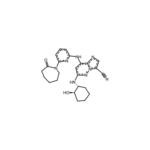 N#Cc1cnc2c(Nc3cccc(N4CCCCCC4=O)n3)cc(N[C@@H]3CCCC[C@H]3O)nn12